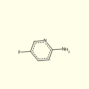 Nc1[c]cc(F)cn1